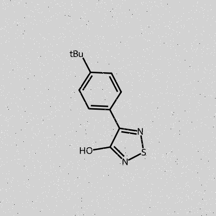 CC(C)(C)c1ccc(-c2nsnc2O)cc1